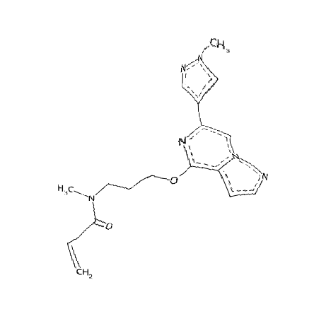 C=CC(=O)N(C)CCCOc1nc(-c2cnn(C)c2)cn2nccc12